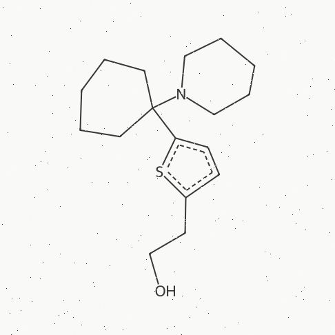 OCCc1ccc(C2(N3CCCCC3)CCCCC2)s1